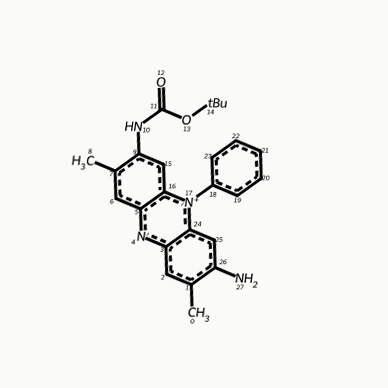 Cc1cc2nc3cc(C)c(NC(=O)OC(C)(C)C)cc3[n+](-c3ccccc3)c2cc1N